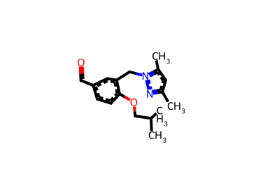 Cc1cc(C)n(Cc2cc(C=O)ccc2OCC(C)C)n1